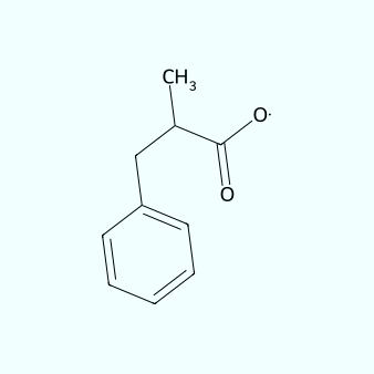 CC(Cc1ccccc1)C([O])=O